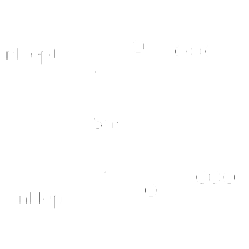 CCCCCCC[C](=O)[Sn+2][C](=O)CCCCCCC.O=C([O-])C=CC(=O)[O-]